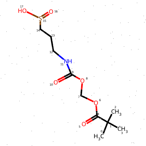 CC(C)(C)C(=O)OCOC(=O)NCCCS(=O)O